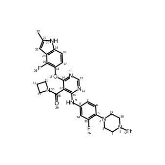 CCN1CCN(c2ccc(Nc3ncnc(Oc4ccc5[nH]c(C)cc5c4F)c3C(=O)N3CCC3)cc2F)CC1